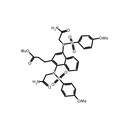 COc1ccc(S(=O)(=O)N(CC(N)=O)c2cc(CCC(=O)OCC(C)C)c(N(CC(N)=O)S(=O)(=O)c3ccc(OC)cc3)c3ccccc23)cc1